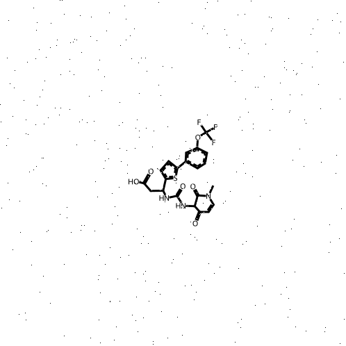 CN1C=CC(=O)C(NC(=O)NC(CC(=O)O)c2ccc(-c3cccc(OC(F)(F)F)c3)s2)C1=O